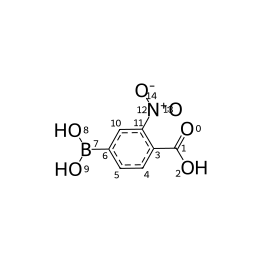 O=C(O)c1ccc(B(O)O)cc1[N+](=O)[O-]